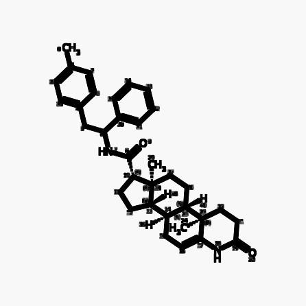 Cc1ccc(CC(NC(=O)[C@H]2CC[C@H]3[C@@H]4CC=C5NC(=O)CC[C@]5(C)[C@H]4CC[C@]23C)c2ccccc2)cc1